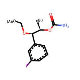 CCCC[C@@H](OC(N)=O)[C@H](OCOC)c1cccc(I)c1